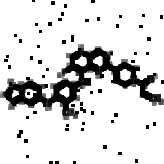 C=CC(=O)N1CC=C(c2ncc3ncc(F)c(Nc4ccc(Oc5ccn6ncnc6c5)c(C)c4)c3n2)CC1